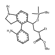 CCN(CC(O[Si](C)(C)C(C)(C)C)c1ccc2c(c1-c1ccccc1N)CCN2C(C)=O)C(=O)OC(C)(C)C